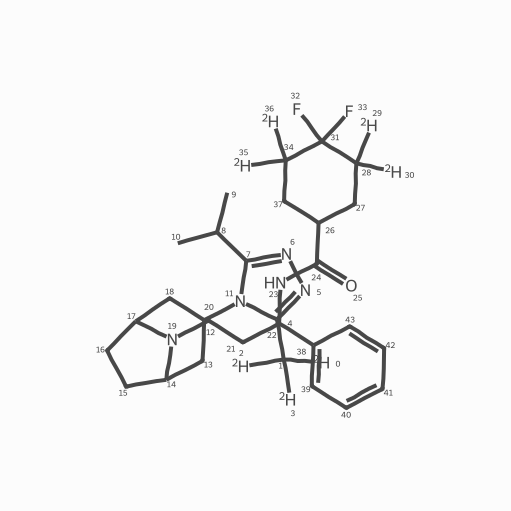 [2H]C([2H])([2H])c1nnc(C(C)C)n1C1CC2CCC(C1)N2CCC(NC(=O)C1CC([2H])([2H])C(F)(F)C([2H])([2H])C1)c1ccccc1